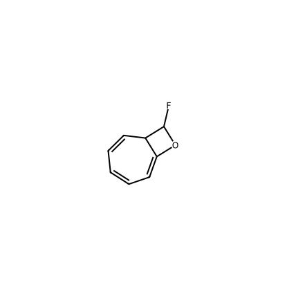 FC1OC2=CC=CC=CC21